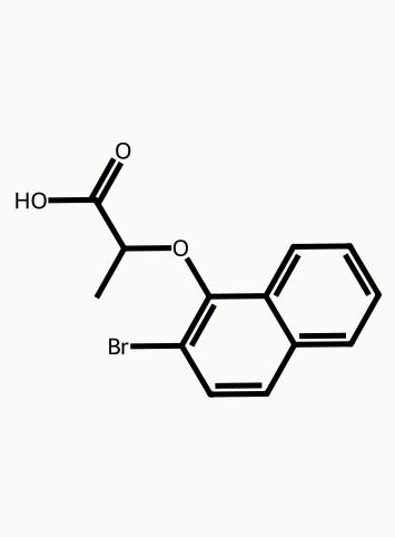 CC(Oc1c(Br)ccc2ccccc12)C(=O)O